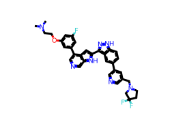 CN(C)CCOc1cc(F)cc(-c2cncc3[nH]c(-c4n[nH]c5ccc(-c6cncc(CN7CCC(F)(F)C7)c6)cc45)cc23)c1